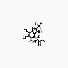 CCNS(=O)(=O)c1c(Cl)c(Cl)c(Cl)c2nc(C(F)(F)F)[nH]c12